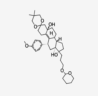 COc1ccc([C@H]2C[C@@]3(C)[C@@H](CC[C@@]3(O)CCCOC3CCCCO3)[C@@H]3CC[C@@]4(O)CC5(CCC4=C32)OCC(C)(C)CO5)cc1